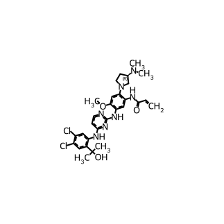 C=CC(=O)Nc1cc(Nc2nccc(Nc3cc(Cl)c(Cl)cc3C(C)(C)O)n2)c(OC)cc1N1CC[C@@H](N(C)C)C1